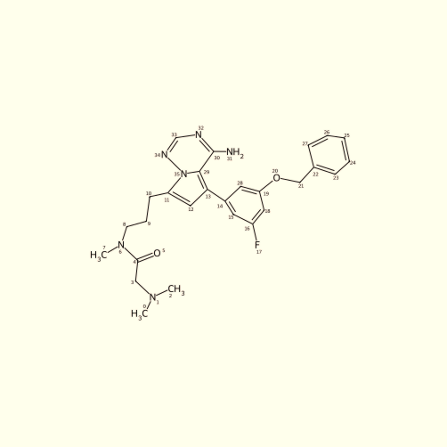 CN(C)CC(=O)N(C)CCCc1cc(-c2cc(F)cc(OCc3ccccc3)c2)c2c(N)ncnn12